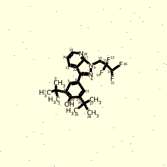 CC(C)(C)c1cc(-c2nn(CC(F)(F)C(F)F)c3ncccc23)cc(C(C)(C)C)c1O